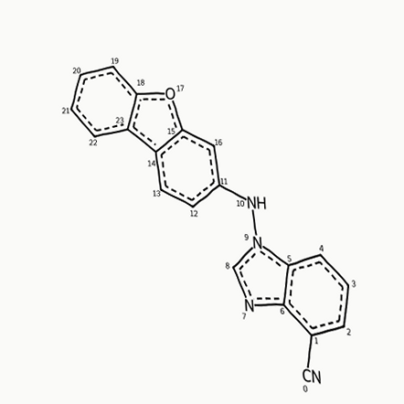 N#Cc1cccc2c1ncn2Nc1ccc2c(c1)oc1ccccc12